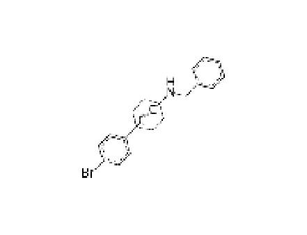 Brc1ccc(C23CCC(NCc4ccccc4)(CC2)CC3)cc1